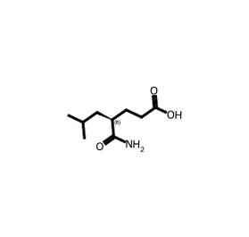 CC(C)C[C@@H](CCC(=O)O)C(N)=O